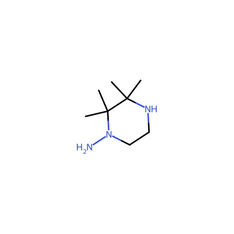 CC1(C)NCCN(N)C1(C)C